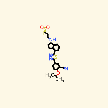 CC(C)Oc1ccc(-c2nnc(-c3cccc4c3CC[C@@H]4NCCC[SH](=O)=O)s2)cc1C#N